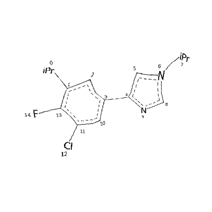 CC(C)c1cc(-c2cn(C(C)C)cn2)cc(Cl)c1F